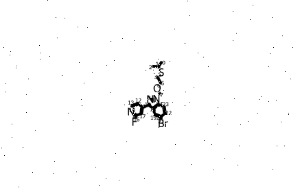 CC(C)SCCOCn1nc(-c2ccnc(F)c2)c2cc(Br)ccc21